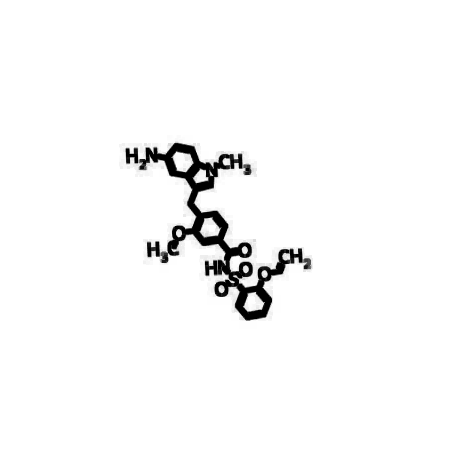 C=COc1ccccc1S(=O)(=O)NC(=O)c1ccc(Cc2cn(C)c3ccc(N)cc23)c(OC)c1